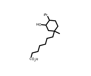 CC(C)C1CCC(C)(CCCCCCC(=O)O)CC1O